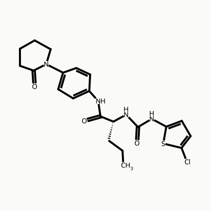 CCC[C@@H](NC(=O)Nc1ccc(Cl)s1)C(=O)Nc1ccc(N2CCCCC2=O)cc1